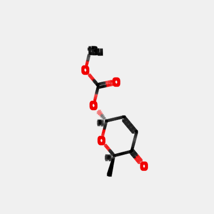 C[C@H]1O[C@H](OC(=O)OC(C)(C)C)C=CC1=O